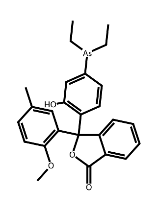 CC[As](CC)c1ccc(C2(c3cc(C)ccc3OC)OC(=O)c3ccccc32)c(O)c1